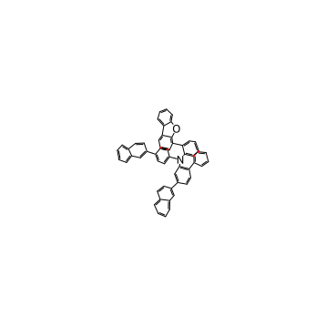 c1ccc(-c2ccc(-c3ccc4ccccc4c3)cc2N(c2ccc(-c3ccc4ccccc4c3)cc2)c2ccccc2-c2cccc3c2oc2ccccc23)cc1